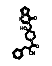 N#CC(Cc1ccccc1)C(=O)N1CCC(O)(Cn2cnn3cccc3c2=O)CC1